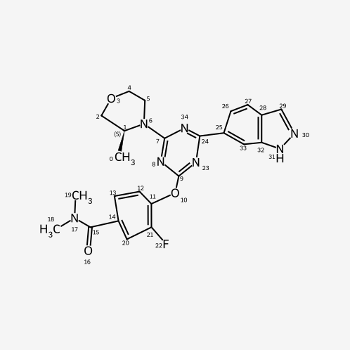 C[C@H]1COCCN1c1nc(Oc2ccc(C(=O)N(C)C)cc2F)nc(-c2ccc3cn[nH]c3c2)n1